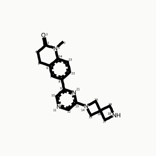 CN1C(=O)CCc2cc(-c3cncc(N4CC5(CNC5)C4)n3)ccc21